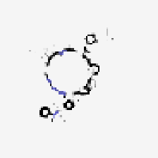 CO[C@@H]1C[C@@H](CC(C)[C@@H]2CC(=O)[C@H](C)/C=C(\C)[C@@H](O)[C@@H](OC)C(=O)[C@H](C)C[C@H](C)/C=C/C=C/C=C(/C)C[C@H](Nc3ccc(S/C(N)=C(\C#N)c4ccccc4C(F)(F)F)cc3)[C@@H]3CC[C@@H](C)[C@@](O)(O3)C(=O)C(=O)N3CCCCC3C(=O)O2)CC[C@H]1O